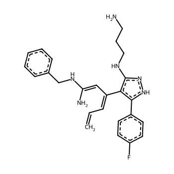 C=C/C=C(\C=C(/N)NCc1ccccc1)c1c(NCCCN)n[nH]c1-c1ccc(F)cc1